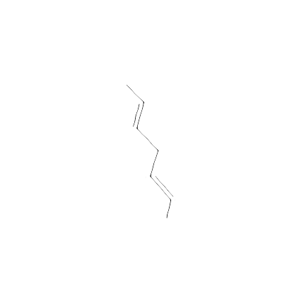 [CH]C=CCC=C[CH2]